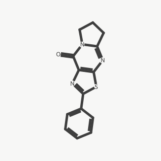 O=c1c2nc(-c3ccccc3)sc2nc2n1CCC2